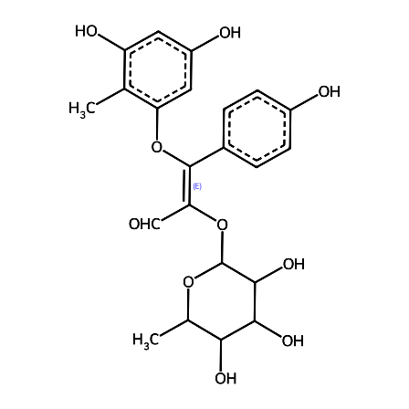 Cc1c(O)cc(O)cc1O/C(=C(\C=O)OC1OC(C)C(O)C(O)C1O)c1ccc(O)cc1